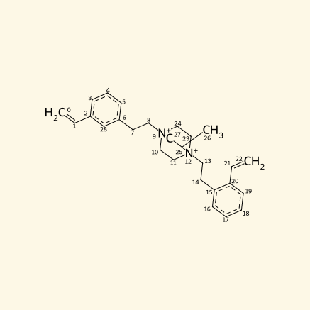 C=Cc1cccc(CC[N+]23CC[N+](CCc4ccccc4C=C)(CC2)C(C)C3)c1